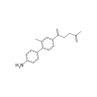 C=C(C)CCC(=C)c1ccc(-c2ccc(N)cc2)c(C)c1